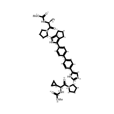 COC(=O)N[C@H](C(=O)N1CCC[C@H]1c1[nH]c(-c2ccc(-c3ccc(-c4cnc([C@@H]5CCCN5C(=O)[C@@H](NC(=O)OC)C5CC5)[nH]4)cc3)cc2)c2c1CCC2)C(C)C